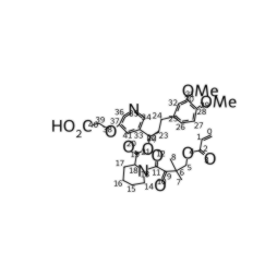 C=CC(=O)OCC(C)(C)C(=O)C(=O)N1CCCCC1C(=O)O[C@H](CCc1ccc(OC)c(OC)c1)c1cncc(OCC(=O)O)c1